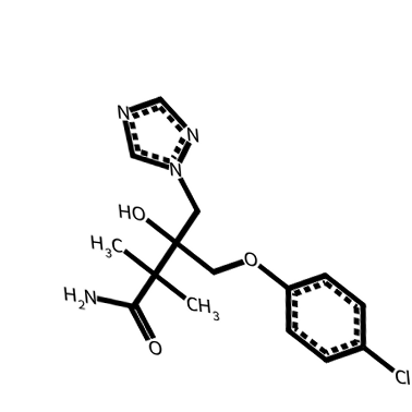 CC(C)(C(N)=O)C(O)(COc1ccc(Cl)cc1)Cn1cncn1